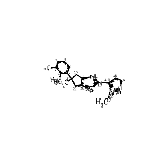 Cc1c(F)cccc1[C@]1(C(=O)O)Cc2nc(-c3ccnn3C)sc2C1